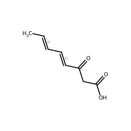 C/C=C/C=C/C(=O)CC(=O)O